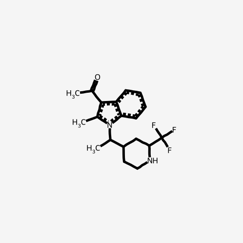 CC(=O)c1c(C)n(C(C)C2CCNC(C(F)(F)F)C2)c2ccccc12